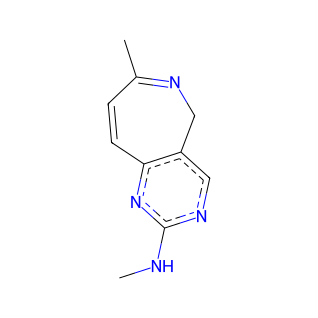 CNc1ncc2c(n1)C=CC(C)=NC2